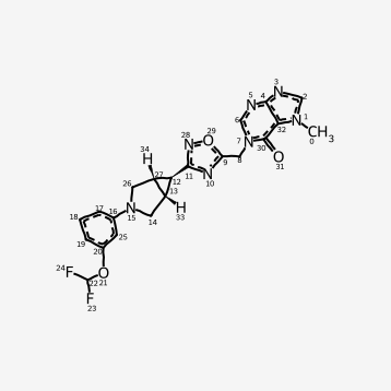 Cn1cnc2ncn(Cc3nc([C@H]4[C@@H]5CN(c6cccc(OC(F)F)c6)C[C@@H]54)no3)c(=O)c21